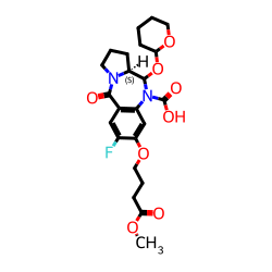 COC(=O)CCCOc1cc2c(cc1F)C(=O)N1CCC[C@H]1C(OC1CCCCO1)N2C(=O)O